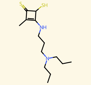 CCCN(CCC)CCCNC1=C(C)C(=S)C1S